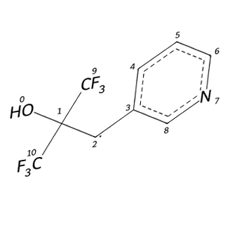 OC([CH]c1cccnc1)(C(F)(F)F)C(F)(F)F